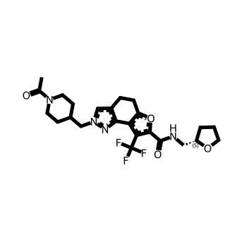 CC(=O)N1CCC(Cn2cc3c(n2)-c2c(oc(C(=O)NC[C@@H]4CCCO4)c2C(F)(F)F)CC3)CC1